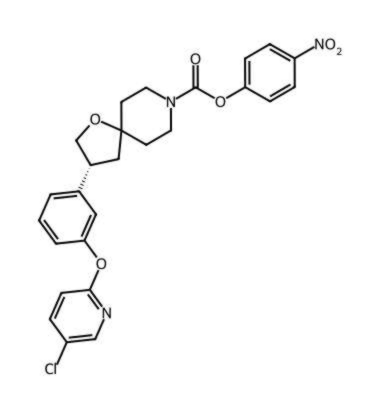 O=C(Oc1ccc([N+](=O)[O-])cc1)N1CCC2(CC1)C[C@H](c1cccc(Oc3ccc(Cl)cn3)c1)CO2